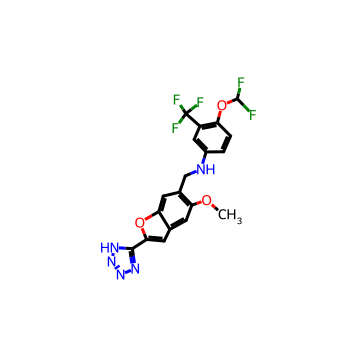 COc1cc2cc(-c3nnn[nH]3)oc2cc1CNc1ccc(OC(F)F)c(C(F)(F)F)c1